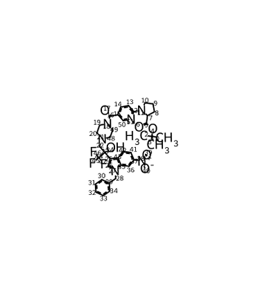 CC(C)(C)OC(=O)C1CCCN1c1ccc(C(=O)N2CCN(CC(O)(c3cn(Cc4ccccc4)c4cc([N+](=O)[O-])ccc34)C(F)(F)F)CC2)cn1